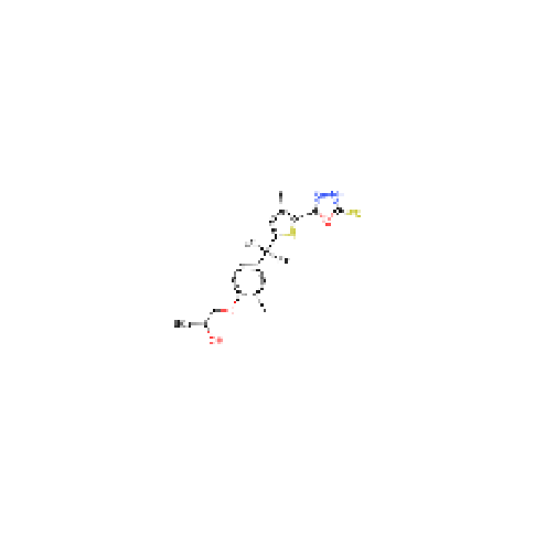 CCC(CC)(c1ccc(OCC(O)C(C)(C)C)c(C)c1)c1cc(C)c(-c2n[nH]c(=S)o2)s1